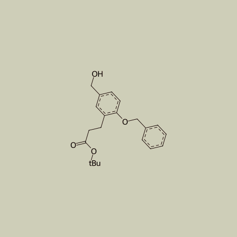 CC(C)(C)OC(=O)CCc1cc(CO)ccc1OCc1ccccc1